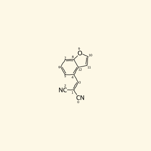 N#CC(C#N)=Cc1cccc2occc12